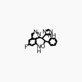 Fc1cc2c3c(nncc3c1)C(c1ncn[nH]1)C(c1ccccc1)ON2